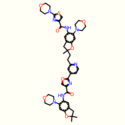 CC1(C)Cc2cc(NC(=O)c3coc(-c4ccnc(CCC5(C)Cc6cc(NC(=O)c7csc(N8CCOCC8)n7)c(N7CCOCC7)cc6O5)c4)n3)c(N3CCOCC3)cc2O1